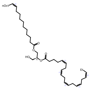 CC/C=C\C/C=C\C/C=C\C/C=C\C/C=C\CCCC(=O)O[C@@H](CO)COC(=O)CCCCCCCCC/C=C\CCCCCCCC